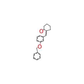 O=C1CCCCC1=Cc1cccc(OCc2ccccc2)c1